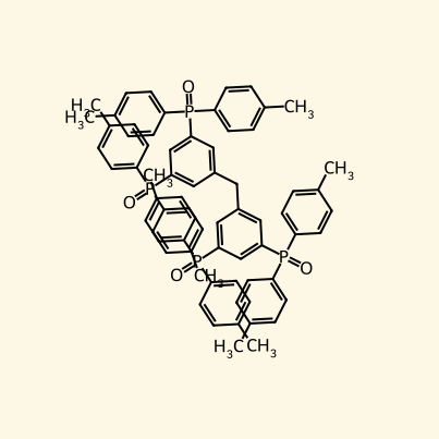 Cc1ccc(P(=O)(c2ccc(C)cc2)c2cc(Cc3cc(P(=O)(c4ccc(C)cc4)c4ccc(C)cc4)cc(P(=O)(c4ccc(C)cc4)c4ccc(C)cc4)c3)cc(P(=O)(c3ccc(C)cc3)c3ccc(C)cc3)c2)cc1